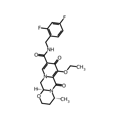 CCOc1c2n(cc(C(=O)NCc3ccc(F)cc3F)c1=O)C[C@@H]1OCC[C@@H](C)N1C2=O